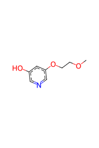 COCCOc1cncc(O)c1